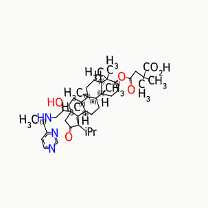 CC(C)C1=C2[C@H]3CC[C@@H]4[C@@]5(C)CC[C@H](OC(=O)CC(C)(C)C(=O)O)C(C)(C)[C@@H]5CC[C@@]4(C)[C@]3(C)CCC2(C(O)CN[C@@H](C)c2ccncn2)CC1=O